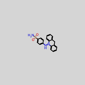 NS(=O)(=O)c1ccc(NN2c3ccccc3Cc3ccccc32)cc1